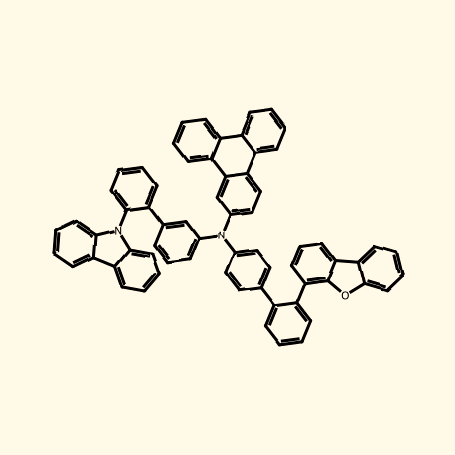 c1cc(-c2ccccc2-n2c3ccccc3c3ccccc32)cc(N(c2ccc(-c3ccccc3-c3cccc4c3oc3ccccc34)cc2)c2ccc3c4ccccc4c4ccccc4c3c2)c1